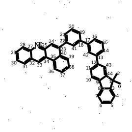 CC1(C)c2ccccc2-c2ccc(-c3cccc(-c4cccc(-c5cc6nc7ccccc7cc6c6ccccc56)c4)c3)cc21